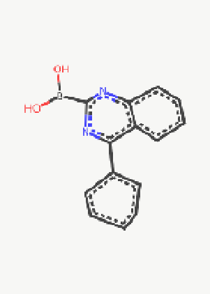 OB(O)c1nc(-c2ccccc2)c2ccccc2n1